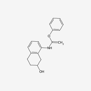 C=C(Nc1cccc2c1CC(O)CC2)Oc1ccccc1